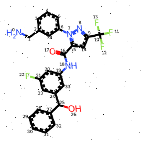 NCc1cccc(-n2nc(C(F)(F)F)cc2C(=O)Nc2cc(F)cc(C(O)c3ccccc3)c2)c1